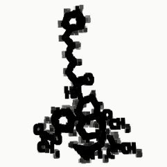 COC12CC[C@H](NC(=O)CCCCCc3ccccc3)C[C@@]1(c1cccc(OC(C)=O)c1)CC[N@+](CC(C)C)(CC1CC1)C2